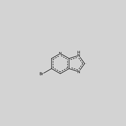 Brc1cnc2[nH][c]nc2c1